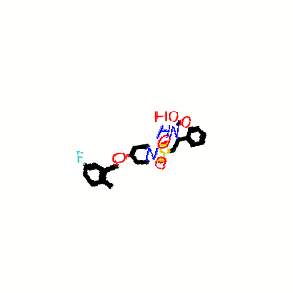 Cc1ccc(F)cc1COC1CCN(S(=O)(=O)CC(NC(=O)O)c2ccccc2)CC1